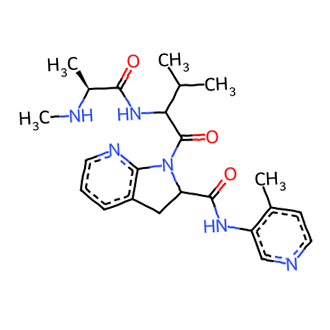 CN[C@@H](C)C(=O)NC(C(=O)N1c2ncccc2CC1C(=O)Nc1cnccc1C)C(C)C